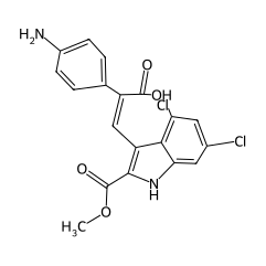 COC(=O)c1[nH]c2cc(Cl)cc(Cl)c2c1C=C(C(=O)O)c1ccc(N)cc1